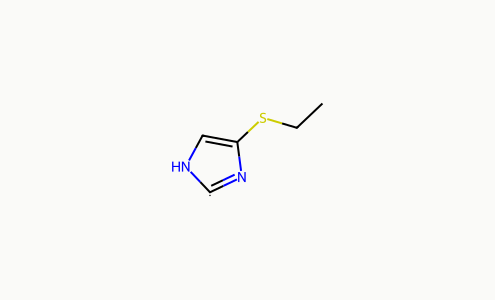 CCSc1c[nH][c]n1